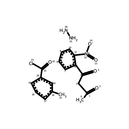 CC(=O)CC(=O)c1ccccc1[N+](=O)[O-].Cc1cccc(C(=O)Cl)c1.NN